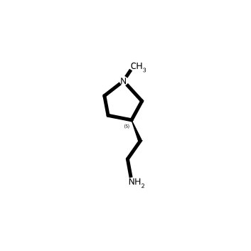 CN1CC[C@H](CCN)C1